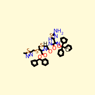 Cc1nnc(CSC2=C(C(=O)OC(c3ccccc3)c3ccccc3)N3C(=O)[C@@H](NC(=O)/C(=N\OC(c4ccccc4)(c4ccccc4)c4ccccc4)c4csc(N)n4)[C@H]3SC2)s1